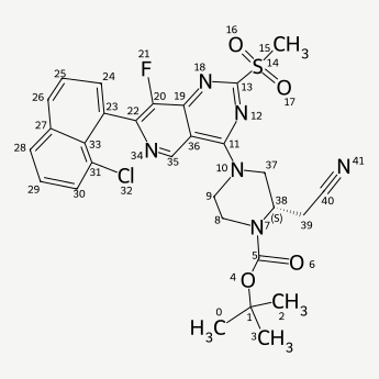 CC(C)(C)OC(=O)N1CCN(c2nc(S(C)(=O)=O)nc3c(F)c(-c4cccc5cccc(Cl)c45)ncc23)C[C@@H]1CC#N